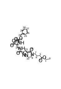 CCOC(=O)CCCN1CCn2nc(C(=O)NC[C@H](NC(=O)OCc3ccccc3)C(=O)O)cc2C1=O